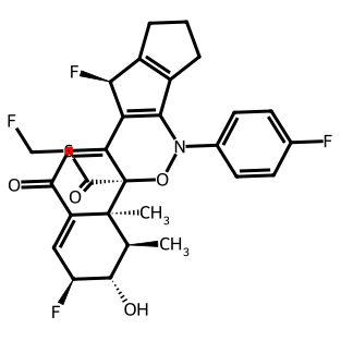 C[C@H]1[C@H](O)[C@@H](F)C=C2C(=O)C=C3C4=C(C5=C(CCC5)[C@@H]4F)N(c4ccc(F)cc4)O[C@@]3(C(=O)SCF)[C@]21C